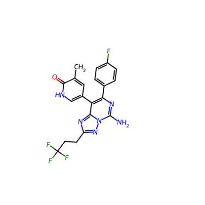 Cc1cc(-c2c(-c3ccc(F)cc3)nc(N)n3nc(CCC(F)(F)F)nc23)c[nH]c1=O